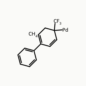 C.FC(F)(F)[C]1([Pd])C=CC(c2ccccc2)=CC1